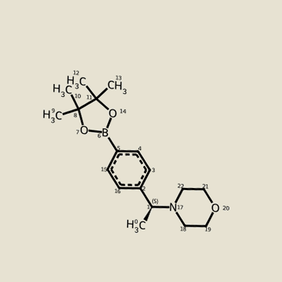 C[C@@H](c1ccc(B2OC(C)(C)C(C)(C)O2)cc1)N1CCOCC1